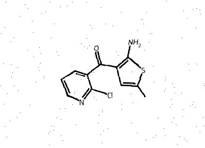 Cc1cc(C(=O)c2cccnc2Cl)c(N)s1